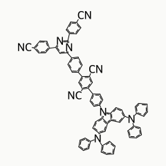 N#Cc1ccc(-c2cc(-c3ccc(-c4cc(C#N)c(-c5ccc(-n6c7ccc(N(c8ccccc8)c8ccccc8)cc7c7cc(N(c8ccccc8)c8ccccc8)ccc76)cc5)cc4C#N)cc3)nc(-c3ccc(C#N)cc3)n2)cc1